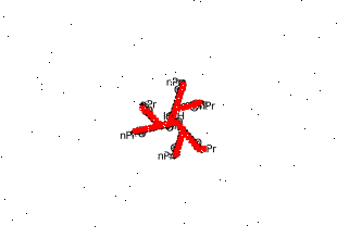 CCC/C=C\COC(=O)CCCCCCCCN(CCCCCCCCC(=O)OC/C=C\CCC)CCCNC(=O)c1cc(C(=O)NCCCN(CCCCCCCCC(=O)OC/C=C\CCC)CCCCCCCCC(=O)OC/C=C\CCC)cc(C(=O)NCCCN(CCCCCCCCC(=O)OC/C=C\CCC)CCCCCCCCC(=O)OC/C=C\CCC)c1